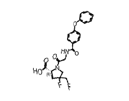 O=C(NCC(=O)N1CC(F)(CF)C[C@@H]1C(=O)O)c1ccc(Oc2ccccc2)cc1